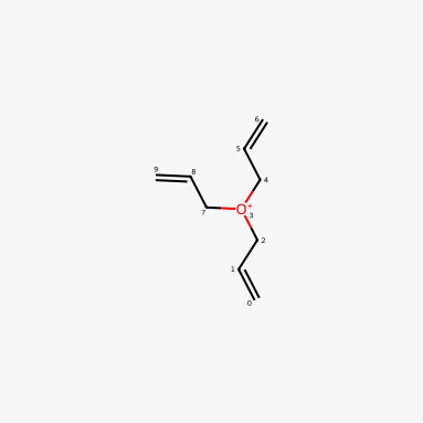 C=CC[O+](CC=C)CC=C